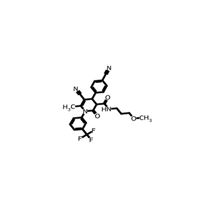 COCCCNC(=O)C1C(=O)N(c2cccc(C(F)(F)F)c2)C(C)=C(C#N)C1c1ccc(C#N)cc1